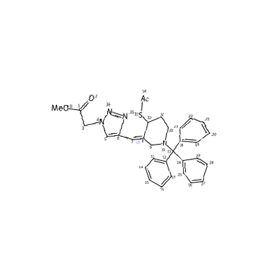 COC(=O)Cn1cc(/C=C2/CN(C(c3ccccc3)(c3ccccc3)c3ccccc3)CCC2SC(C)=O)nn1